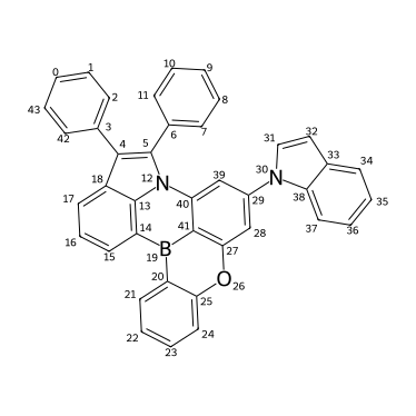 c1ccc(-c2c(-c3ccccc3)n3c4c(cccc24)B2c4ccccc4Oc4cc(-n5ccc6ccccc65)cc-3c42)cc1